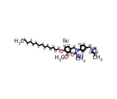 CCCCCCCCCCCCCCOc1ccc(CN(C(=O)NC)c2ccc(C[n+]3csc(C)c3)cc2)cc1OC.[Br-]